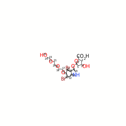 O=C(O)C1CC(O)CC(Oc2c[nH]c3cc(Br)c(OCCOCCOCCO)c(Br)c23)O1